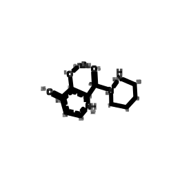 CCCCOc1c(C(=O)N2CCCCN2)[nH]ccc1=O